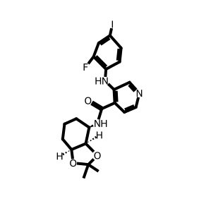 CC1(C)O[C@@H]2[C@@H](NC(=O)c3ccncc3Nc3ccc(I)cc3F)CCC[C@@H]2O1